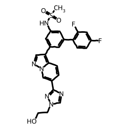 CS(=O)(=O)Nc1cc(-c2ccc(F)cc2F)cc(-c2cnn3cc(-c4ncn(CCO)n4)ccc23)c1